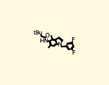 Cc1cc2c(ccn2Cc2cc(F)cc(F)c2)c(C)c1NC(=O)CC(C)(C)C